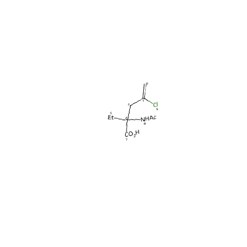 C=C(Cl)CC(CC)(NC(C)=O)C(=O)O